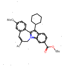 COc1ccc2c(c1)C=C(C(C)=O)Cn1c-2c(C2CCCCC2)c2ccc(C(=O)OC(C)(C)C)cc21